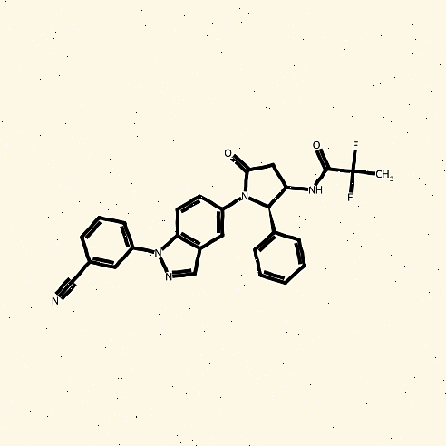 CC(F)(F)C(=O)NC1CC(=O)N(c2ccc3c(cnn3-c3cccc(C#N)c3)c2)[C@@H]1c1ccccc1